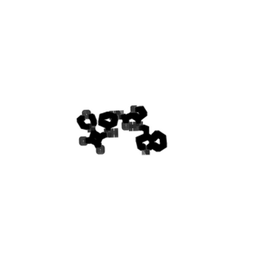 O=C(Nc1cccc(Nc2c(N3CCOCC3)c(=O)c2=O)c1)c1sccc1NCc1ccnc2ccccc12